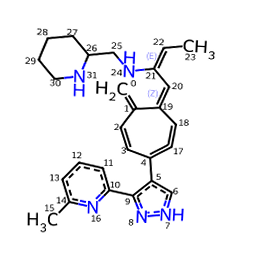 C=C1C=CC(c2c[nH]nc2-c2cccc(C)n2)=C=C/C1=C/C(=C\C)NCC1CCCCN1